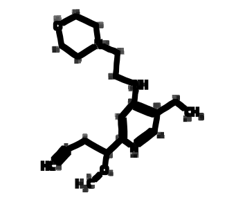 C#CCC(OC)c1cc(NCCN2CCOCC2)c(CC)cn1